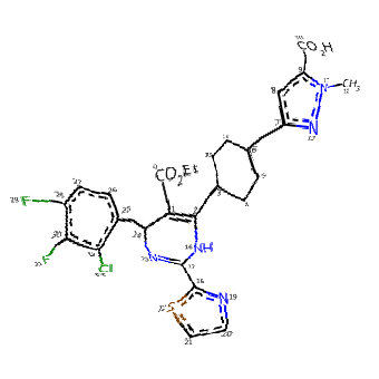 CCOC(=O)C1=C(C2CCC(c3cc(C(=O)O)n(C)n3)CC2)NC(c2nccs2)=NC1c1ccc(F)c(F)c1Cl